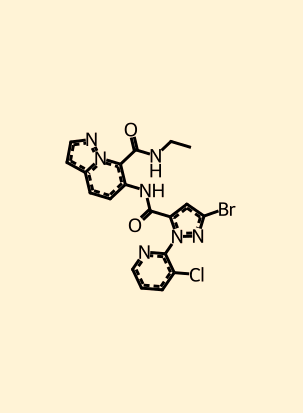 CCNC(=O)c1c(NC(=O)c2cc(Br)nn2-c2ncccc2Cl)ccc2ccnn12